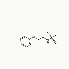 CS(=O)(=O)NCCOc1ccccc1